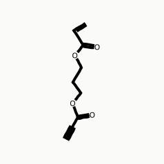 C#CC(=O)OCCCOC(=O)C=C